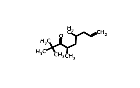 C=CCC(C)CC(C)C(=O)C(C)(C)C